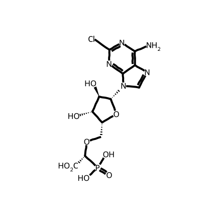 Nc1nc(Cl)nc2c1ncn2[C@@H]1O[C@H](CO[C@@H](C(=O)O)P(=O)(O)O)[C@H](O)[C@H]1O